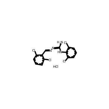 Cl.NC(=NN=Cc1c(Cl)cccc1Cl)Nc1c(Cl)cccc1Cl